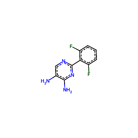 Nc1cnc(-c2c(F)cccc2F)nc1N